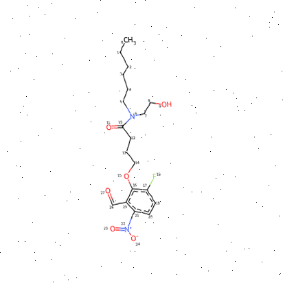 CCCCCCN(CCO)C(=O)CCCOc1c(F)ccc([N+](=O)[O-])c1C=O